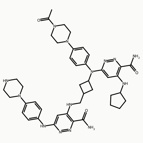 CC(=O)N1CCN(c2ccc(N(c3cc(NC4CCCC4)c(C(N)=O)nn3)C3CC(CNc4cc(Nc5ccc(N6CCNCC6)cc5)nnc4C(N)=O)C3)cc2)CC1